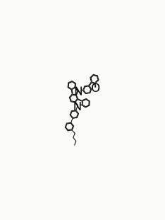 CCCCc1cccc(-c2ccc(-n3c4ccccc4c4c3ccc3c5ccccc5n(-c5ccc6oc7ccccc7c6c5)c34)cc2)c1